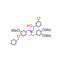 COc1ccc(CC(C)N(Cc2ccc(OCc3ccccc3)c(OC)c2)CC(O)c2cccc(Cl)c2)cc1OC